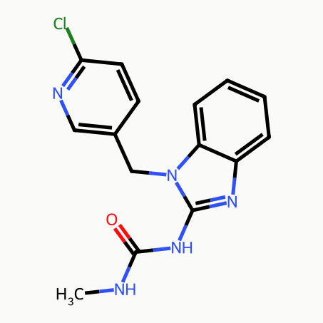 CNC(=O)Nc1nc2ccccc2n1Cc1ccc(Cl)nc1